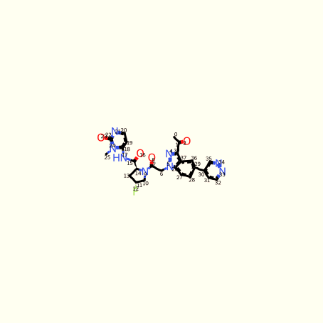 CC(=O)c1nn(CC(=O)N2C[C@H](F)C[C@H]2C(=O)Nc2ccnc(=O)n2C)c2ccc(-c3ccnnc3)cc12